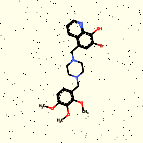 COc1ccc(CN2CCN(Cc3cc(Br)c(O)c4ncccc34)CC2)c(OC)c1OC